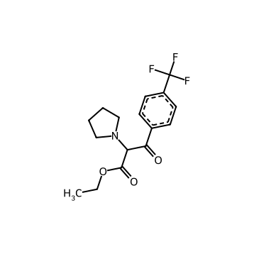 CCOC(=O)C(C(=O)c1ccc(C(F)(F)F)cc1)N1CCCC1